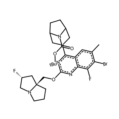 Cc1cc2c(N3CC4CCC(C3)N4C(=O)OC(C)(C)C)nc(OC[C@@]34CCCN3C[C@H](F)C4)nc2c(F)c1Br